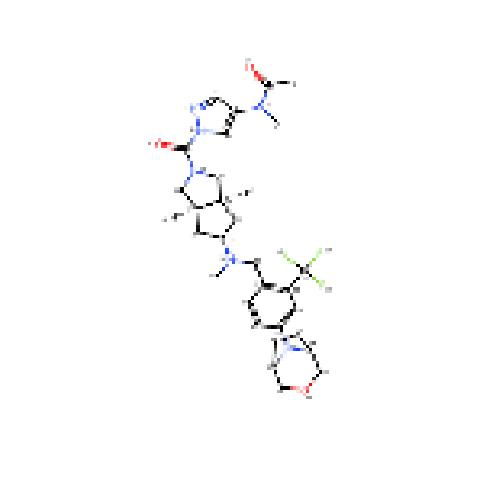 CC(=O)N(C)c1cnn(C(=O)N2C[C@H]3C[C@@H](N(C)Cc4ccc(N5C6CCC5COC6)cc4C(F)(F)F)C[C@H]3C2)c1